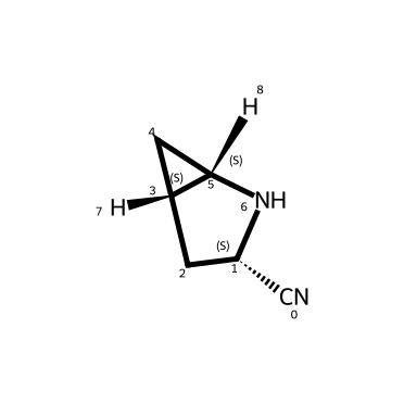 N#C[C@@H]1C[C@@H]2C[C@@H]2N1